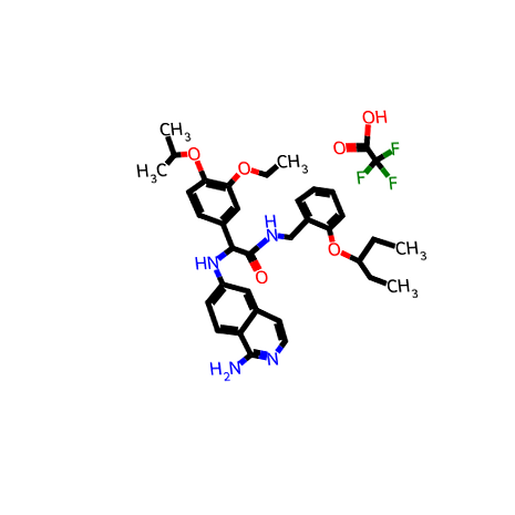 CCOc1cc(C(Nc2ccc3c(N)nccc3c2)C(=O)NCc2ccccc2OC(CC)CC)ccc1OC(C)C.O=C(O)C(F)(F)F